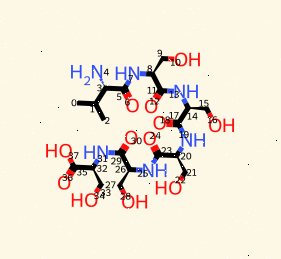 CC(C)[C@H](N)C(=O)N[C@@H](CO)C(=O)N[C@@H](CO)C(=O)N[C@@H](CO)C(=O)N[C@@H](CO)C(=O)N[C@@H](CO)C(=O)O